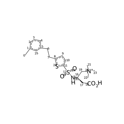 Cc1cccc(CCc2ccc(S(=O)(=O)N[C@H](CC(=O)O)C[N+](C)(C)C)s2)c1